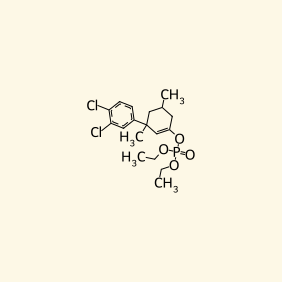 CCOP(=O)(OCC)OC1=CC(C)(c2ccc(Cl)c(Cl)c2)CC(C)C1